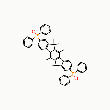 Cc1c2c(c(C)c3c1C(C)(C)c1cc(P(=O)(c4ccccc4)c4ccccc4)ccc1-3)C(C)(C)c1cc(P(=O)(c3ccccc3)c3ccccc3)ccc1-2